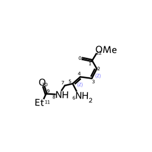 C=C(/C=C\C=C(/N)CNC(=O)CC)OC